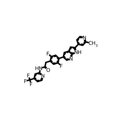 Cc1cc(-c2cc3cc(-c4cc(F)c(CC(=O)Nc5cc(C(F)(F)F)ccn5)cc4F)cnc3[nH]2)ccn1